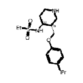 CCS(=O)(=O)N[C@H]1CCNC[C@@H]1COc1ccc(C(C)C)cc1